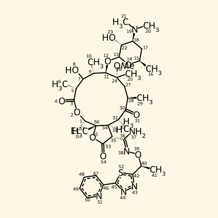 CC[C@@H]1OC(=O)[C@H](C)C(O)[C@H](C)[C@@H](OC2O[C@H](C)C[C@H](N(C)C)[C@H]2O)[C@](C)(OC)C[C@@H](C)C(=O)[C@H](C)[C@H]2[C@H](/C(N)=N/O[C@@H](C)c3nnc(-c4ccccn4)s3)C(=O)O[C@@]21C